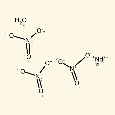 O.O=[N+]([O-])[O-].O=[N+]([O-])[O-].O=[N+]([O-])[O-].[Nd+3]